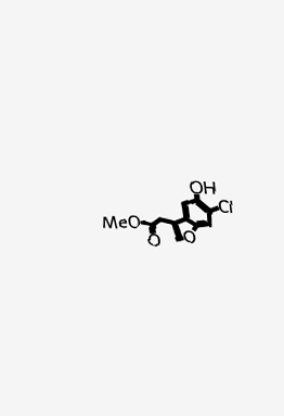 COC(=O)Cc1coc2cc(Cl)c(O)cc12